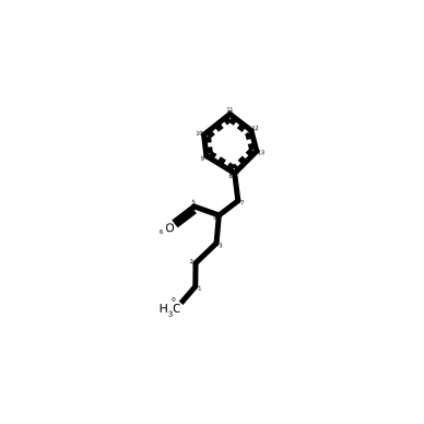 CCCCC(C=O)Cc1ccccc1